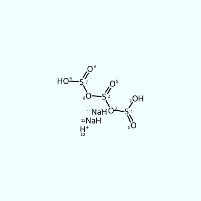 O=S(O)OS(=O)OS(=O)O.[H+].[NaH].[NaH]